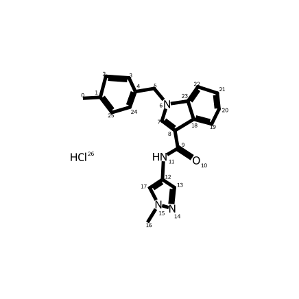 Cc1ccc(Cn2cc(C(=O)Nc3cnn(C)c3)c3ccccc32)cc1.Cl